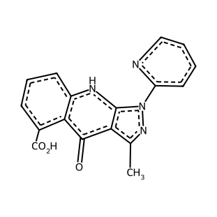 Cc1nn(-c2ccccn2)c2[nH]c3cccc(C(=O)O)c3c(=O)c12